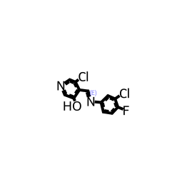 Oc1cncc(Cl)c1/C=N/c1ccc(F)c(Cl)c1